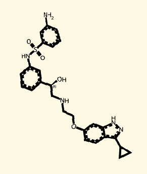 Nc1cccc(S(=O)(=O)Nc2cccc([C@@H](O)CNCCOc3ccc4c(C5CC5)n[nH]c4c3)c2)c1